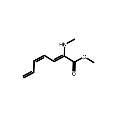 C=C/C=C\C=C(/NC)C(=O)OC